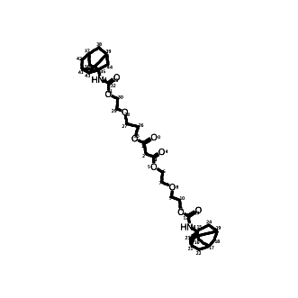 O=C(CC(=O)OCCOCCOC(=O)NC12CC3CC(CC(C3)C1)C2)OCCOCCOC(=O)NC12CC3CC(CC(C3)C1)C2